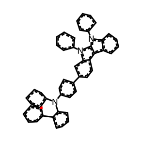 c1ccc(-c2ccccc2N(c2ccccc2)c2ccc(-c3ccc4c5c6ccccc6n(-c6ccccc6)c5n(-c5ccccc5)c4c3)cc2)cc1